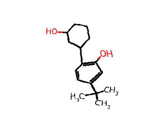 CC(C)(C)c1ccc(C2CCCC(O)C2)c(O)c1